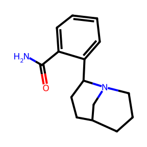 NC(=O)c1ccccc1C1CCC2CCCN1C2